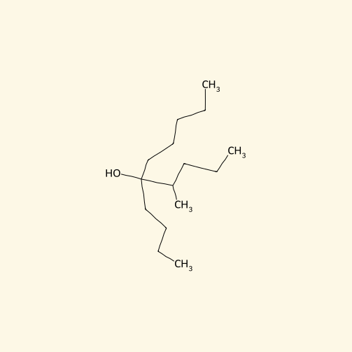 CCCCCC(O)(CCCC)C(C)CCC